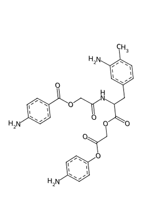 Cc1ccc(CC(NC(=O)COC(=O)c2ccc(N)cc2)C(=O)OCC(=O)Oc2ccc(N)cc2)cc1N